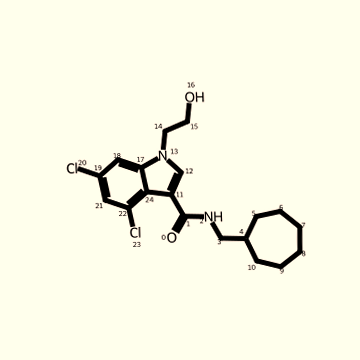 O=C(NCC1CCCCCC1)c1cn(CCO)c2cc(Cl)cc(Cl)c12